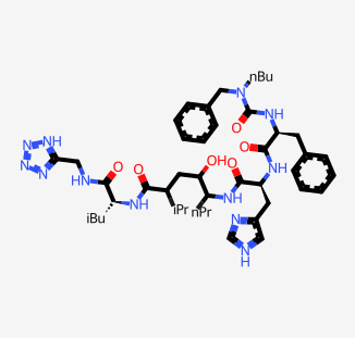 CCCCN(Cc1ccccc1)C(=O)N[C@@H](Cc1ccccc1)C(=O)N[C@@H](Cc1c[nH]cn1)C(=O)NC(CCC)C(O)CC(C(=O)N[C@H](C(=O)NCc1nnn[nH]1)[C@@H](C)CC)C(C)C